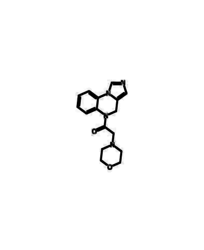 O=C(CN1CCOCC1)N1Cc2cncn2-c2ccccc21